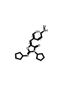 C/C=C(\C=C/CNCC)/C=C1/OC(=NC2CCCC2)N(C2CCCC2)C1=O